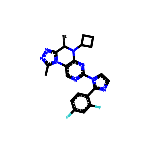 CCC1c2nnc(C)n2-c2cnc(-n3ccnc3-c3ccc(F)cc3F)nc2N1C1CCC1